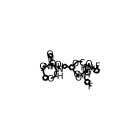 CC1(C)Cc2cccc(c2)OCCCC[C@@H](C(=O)NC2CCC(c3cc4cc(c3)OCCCC[C@@H](C(=O)NCc3ccccc3F)NC(=O)[C@H](CCc3ccc(F)cc3)NC(=O)CC4)C2)NC(=O)[C@H](CCN2CCOCC2)NC1=O